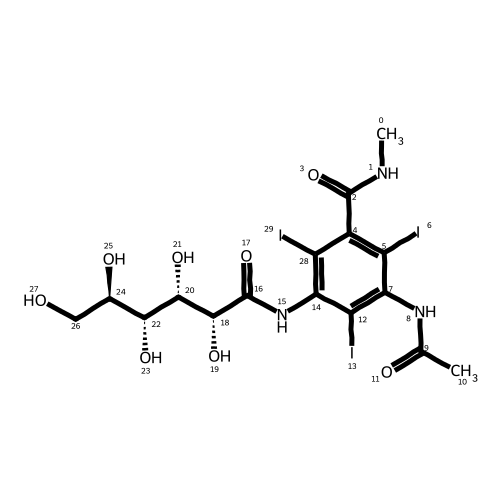 CNC(=O)c1c(I)c(NC(C)=O)c(I)c(NC(=O)[C@H](O)[C@@H](O)[C@H](O)[C@H](O)CO)c1I